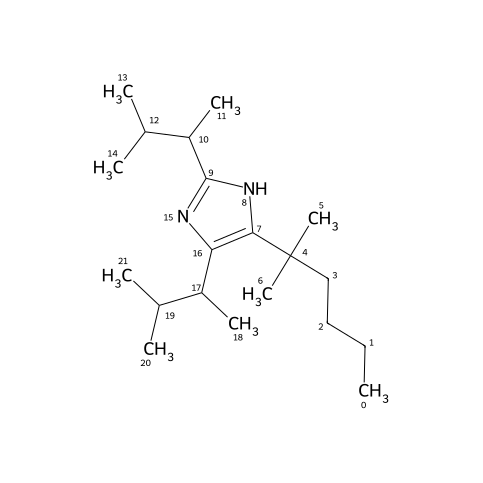 CCCCC(C)(C)c1[nH]c(C(C)C(C)C)nc1C(C)C(C)C